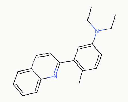 CCN(CC)c1ccc(C)c(-c2ccc3ccccc3n2)c1